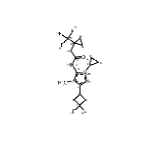 Cc1c(C2CC(F)(F)C2)nn(C2CC2)c1NC(=O)CC1(C(F)(F)F)CC1